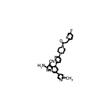 Cn1cc(-c2cc(-c3ccc(N4CCN(C(=O)Cc5ccc(F)cn5)CC4)nc3)c3c(C#N)c(N)nn3c2)cn1